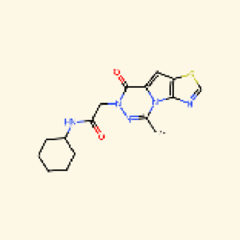 CC(C)c1nn(CC(=O)NC2CCCCC2)c(=O)c2cc3scnc3n12